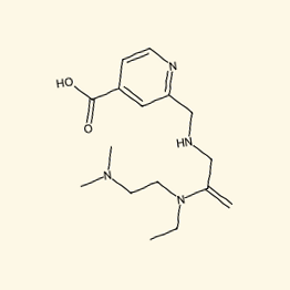 C=C(CNCc1cc(C(=O)O)ccn1)N(CC)CCN(C)C